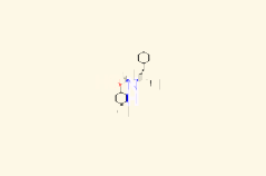 Cc1ccc(C(O)C(C)NC(C)CCc2ccccc2)cc1